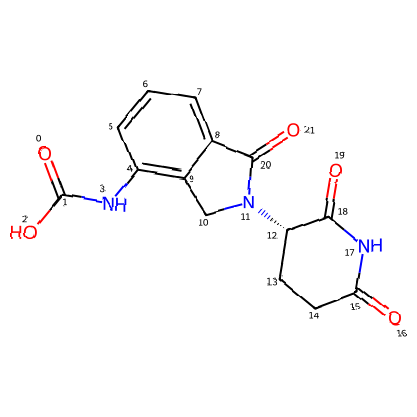 O=C(O)Nc1cccc2c1CN([C@H]1CCC(=O)NC1=O)C2=O